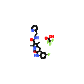 Cc1[nH]c(/C=C2\C(=O)Nc3ccc(F)cc32)c(C)c1C(=O)NCCc1ccccn1.O=C(O)C(F)(F)F